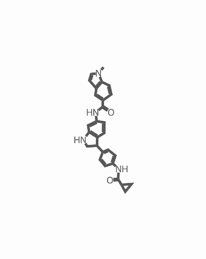 Cn1ccc2cc(C(=O)Nc3ccc4c(c3)NCC4c3ccc(NC(=O)C4CC4)cc3)ccc21